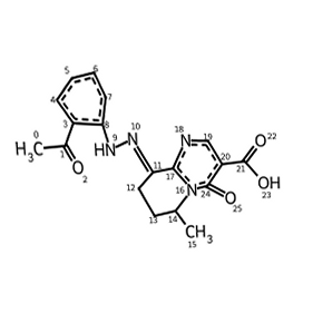 CC(=O)c1ccccc1NN=C1CCC(C)n2c1ncc(C(=O)O)c2=O